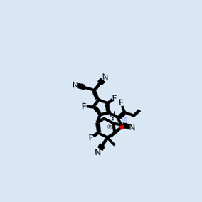 CC/C(F)=C1\CC2[C@H](C#N)CC(=C(F)C2(C)C#N)C2=C(F)C(=C(C#N)C#N)C(F)=C21